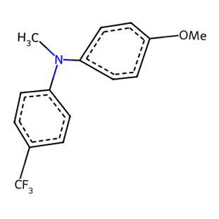 COc1ccc(N(C)c2ccc(C(F)(F)F)cc2)cc1